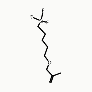 C=C(C)COCCCCC[Si](F)(F)F